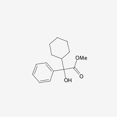 COC(=O)C(O)(c1ccccc1)C1CCCCC1